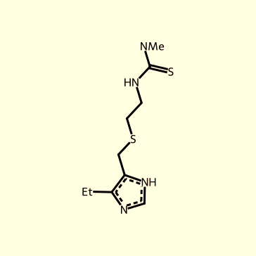 CCc1nc[nH]c1CSCCNC(=S)NC